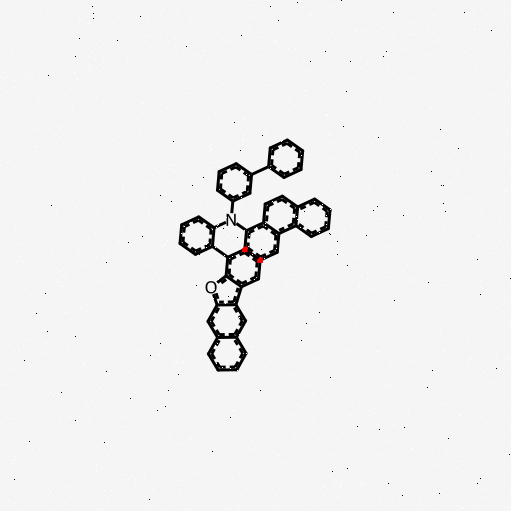 c1ccc(-c2cccc(N(c3ccccc3-c3cccc4c3oc3cc5ccccc5cc34)c3cccc4c3ccc3ccccc34)c2)cc1